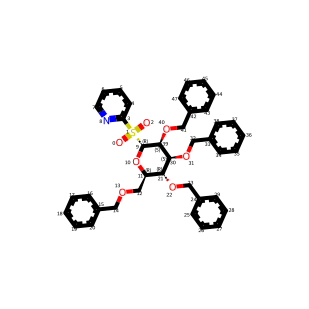 O=S(=O)(c1ccccn1)[C@H]1O[C@H](COCc2ccccc2)[C@@H](OCc2ccccc2)[C@H](OCc2ccccc2)[C@@H]1OCc1ccccc1